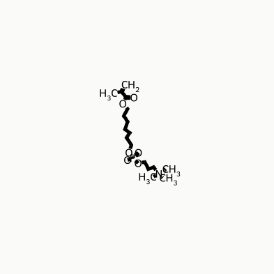 C=C(C)C(=O)OCCCCCCCOP(=O)([O-])OCCC[N+](C)(C)C